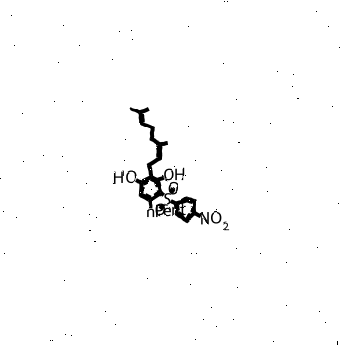 CCCCCc1cc(O)c(CC=C(C)CCC=C(C)C)c(O)c1S(=O)(=O)c1ccc([N+](=O)[O-])cc1